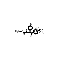 CCOC(=O)C(F)CC(C(=O)c1ccc(C(C)(C)C)cc1)c1ccc(Cl)cc1